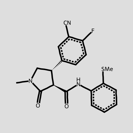 CSc1ccccc1NC(=O)[C@H]1C(=O)N(C)C[C@@H]1c1ccc(F)c(C#N)c1